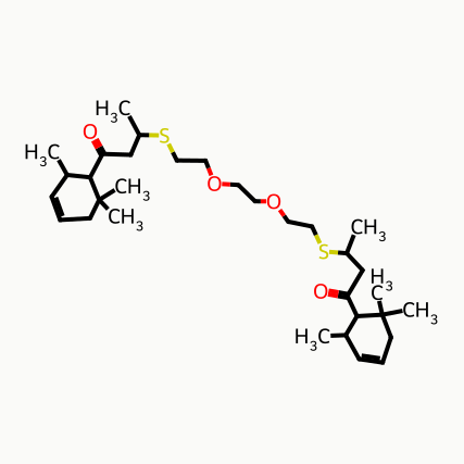 CC(CC(=O)C1C(C)C=CCC1(C)C)SCCOCCOCCSC(C)CC(=O)C1C(C)C=CCC1(C)C